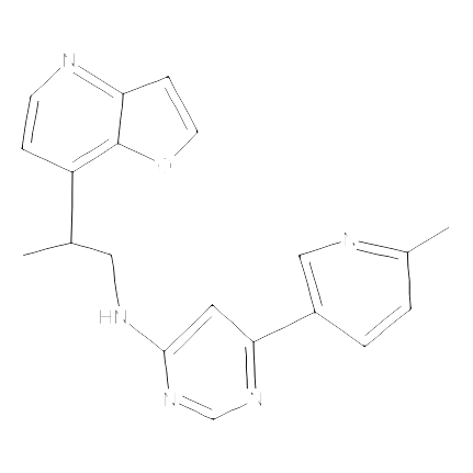 Cc1ccc(-c2cc(NCC(C)c3ccnc4ccoc34)ncn2)cn1